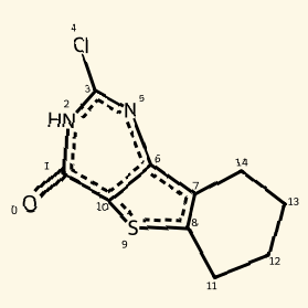 O=c1[nH]c(Cl)nc2c3c(sc12)CCCC3